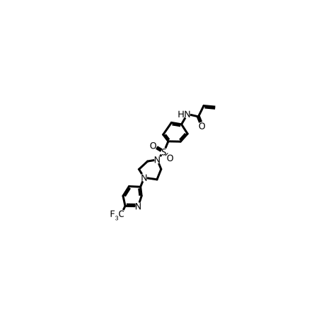 C=CC(=O)Nc1ccc(S(=O)(=O)N2CCN(c3ccc(C(F)(F)F)nc3)CC2)cc1